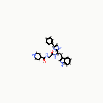 O=C(CNC(=O)C1CCNCC1)N[C@H](Cc1c[nH]c2ccccc12)c1nc(-c2ccccc2)c[nH]1